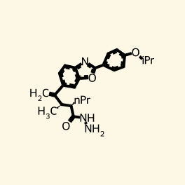 C=C(c1ccc2nc(-c3ccc(OC(C)C)cc3)oc2c1)[C@@H](C)[C@H](CCC)C(=O)NN